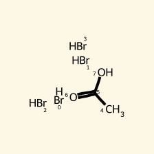 Br.Br.Br.Br.CC(=O)O